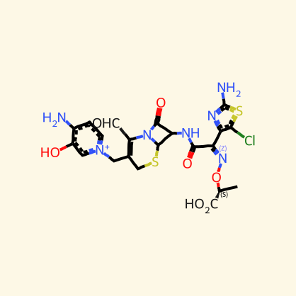 C[C@H](O/N=C(\C(=O)NC1C(=O)N2C(C=O)=C(C[n+]3ccc(N)c(O)c3)CSC12)c1nc(N)sc1Cl)C(=O)O